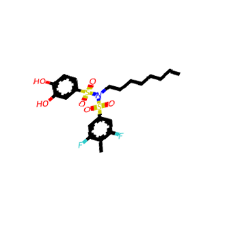 CCCCCCCCN(S(=O)(=O)c1ccc(O)c(O)c1)S(=O)(=O)c1cc(F)c(C)c(F)c1